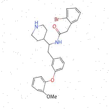 COc1ccccc1Oc1cccc(CC(NC(=O)Cc2ccccc2Br)C2CCNCC2)c1